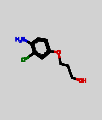 Nc1ccc(OCCCO)cc1Cl